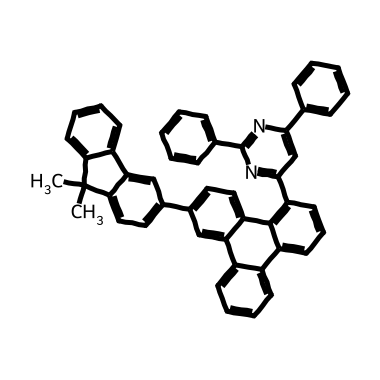 CC1(C)c2ccccc2-c2cc(-c3ccc4c(c3)c3ccccc3c3cccc(-c5cc(-c6ccccc6)nc(-c6ccccc6)n5)c34)ccc21